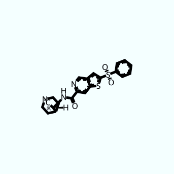 O=C(N[C@H]1CN2CCC1CC2)c1cc2sc(S(=O)(=O)c3ccccc3)cc2cn1